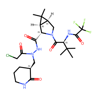 CC(C)(C)[C@H](NC(=O)C(F)(F)F)C(=O)N1C[C@H]2[C@@H]([C@H]1C(=O)NN(C[C@@H]1CCCNC1=O)C(=O)CCl)C2(C)C